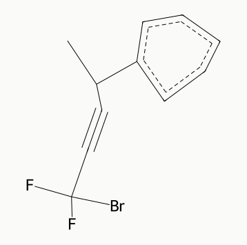 CC(C#CC(F)(F)Br)c1ccccc1